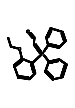 CCOc1ccccc1P(=CC=O)(c1ccccc1)c1ccccc1